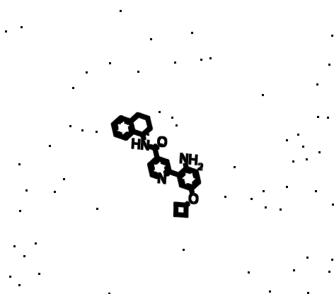 Nc1ccc(OC2CCC2)cc1-c1cc(C(=O)NC2CCCc3ccccc32)ccn1